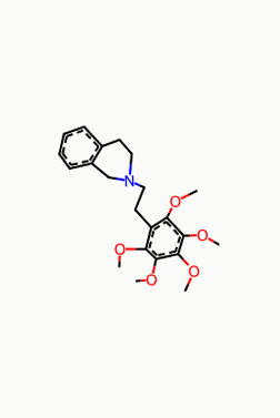 COc1c(CCN2CCc3ccccc3C2)c(OC)c(OC)c(OC)c1OC